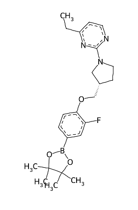 CCc1ccnc(N2CC[C@H](COc3ccc(B4OC(C)(C)C(C)(C)O4)cc3F)C2)n1